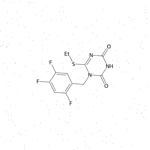 CCSc1nc(=O)[nH]c(=O)n1Cc1cc(F)c(F)cc1F